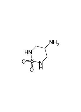 NC1CNS(=O)(=O)NC1